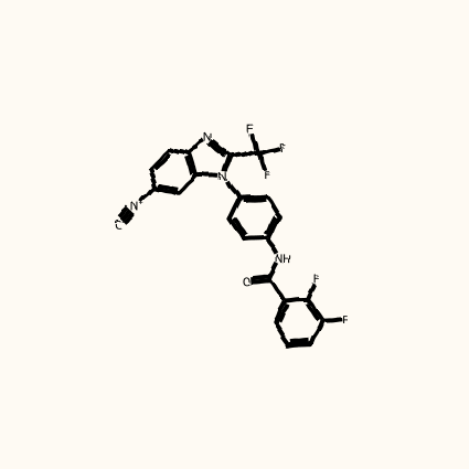 [C-]#[N+]c1ccc2nc(C(F)(F)F)n(-c3ccc(NC(=O)c4cccc(F)c4F)cc3)c2c1